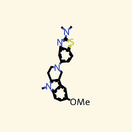 COc1ccc2c(c1)c1c(n2C)CCN(c2ccc3sc(N(C)C)nc3c2)C1